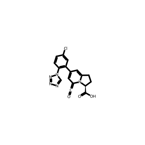 O=C=C1C=C(c2cc(Cl)ccc2-n2cnnn2)C=C2CC[C@@H](C(=O)O)N12